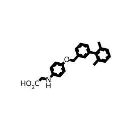 Cc1cccc(C)c1-c1cccc(COc2ccc(NCC(=O)O)cc2)c1